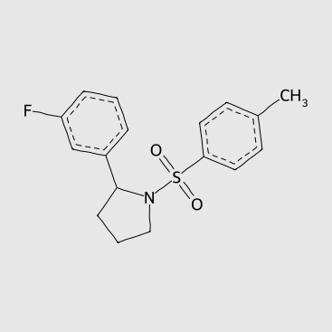 Cc1ccc(S(=O)(=O)N2CCCC2c2cccc(F)c2)cc1